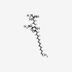 CCCCCCCCCCCCCC(=O)N[C@@H](CCCNC(=N)N)C(=O)OC